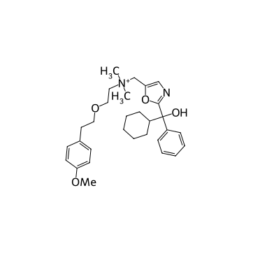 COc1ccc(CCOCC[N+](C)(C)Cc2cnc(C(O)(c3ccccc3)C3CCCCC3)o2)cc1